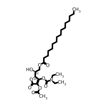 CCCCCCCCCCCCCCCC(=O)OC[C@H](O)[C@H]1OC(=O)C(OC(C)=O)=C1OC(=O)N(CC)CC